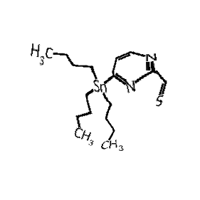 CCC[CH2][Sn]([CH2]CCC)([CH2]CCC)[c]1ccnc(C=S)n1